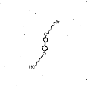 OCCCCCCOc1ccc(-c2ccc(OCCCCCCBr)cc2)cc1